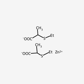 CCSC(C)C(=O)[O-].CCSC(C)C(=O)[O-].[Zn+2]